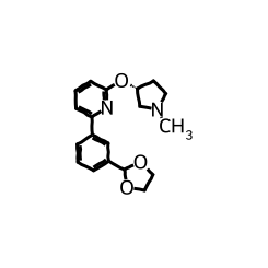 CN1CC[C@@H](Oc2cccc(-c3cccc(C4OCCO4)c3)n2)C1